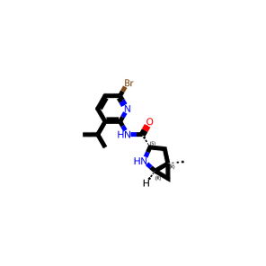 CC(C)c1ccc(Br)nc1NC(=O)[C@@H]1C[C@@]2(C)C[C@H]2N1